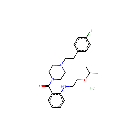 CC(C)OCCNc1ccccc1C(=O)N1CCN(CCc2ccc(Cl)cc2)CC1.Cl